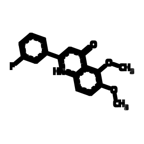 COc1ccc2[nH]c(-c3cccc(F)c3)cc(=O)c2c1OC